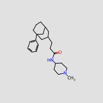 CN1CCC(NC(=O)CCC2CC3CCCC(c4ccccc4)(C3)C2)CC1